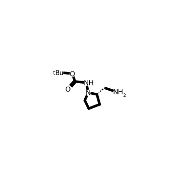 CC(C)(C)OC(=O)NN1CCC[C@H]1CN